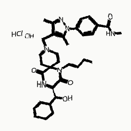 CCCCN1C(=O)[C@@H](C(O)C2CCCCC2)NC(=O)C12CCN(Cc1c(C)nn(-c3ccc(C(=O)NC)cc3)c1C)CC2.Cl.Cl